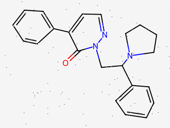 O=c1c(-c2ccccc2)ccnn1CC(c1ccccc1)N1CCCC1